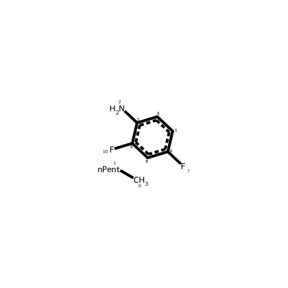 CCCCCC.Nc1ccc(F)cc1F